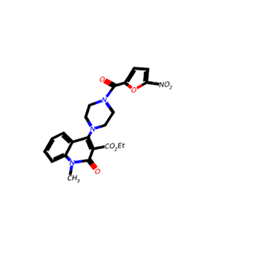 CCOC(=O)c1c(N2CCN(C(=O)c3ccc([N+](=O)[O-])o3)CC2)c2ccccc2n(C)c1=O